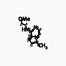 COCCNc1nccn2c(C)cnc12